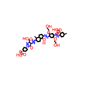 Cc1ccc(N=Nc2cc(OCCO)c(N=Nc3ccc4c(C)c(/N=N/C5C(=O)N(c6ccc(S(=O)(=O)O)cc6)N=C5C(=O)O)ccc4c3O)cc2OCCO)c(S(=O)(=O)O)c1